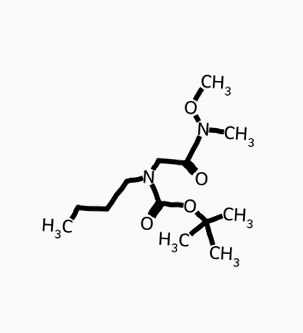 CCCCN(CC(=O)N(C)OC)C(=O)OC(C)(C)C